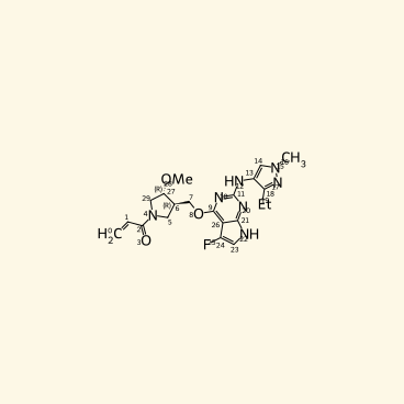 C=CC(=O)N1C[C@H](COc2nc(Nc3cn(C)nc3CC)nc3[nH]cc(F)c23)[C@@H](OC)C1